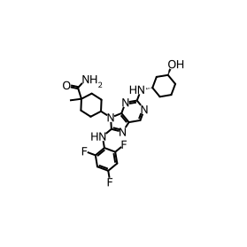 CC1(C(N)=O)CCC(n2c(Nc3c(F)cc(F)cc3F)nc3cnc(N[C@H]4CCC[C@H](O)C4)nc32)CC1